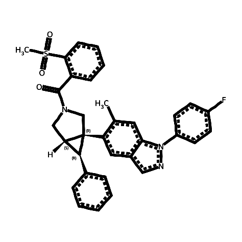 Cc1cc2c(cnn2-c2ccc(F)cc2)cc1[C@]12CN(C(=O)c3ccccc3S(C)(=O)=O)C[C@H]1[C@@H]2c1ccccc1